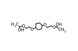 CC(O)OCCOC1CCC(OCCOC(C)O)CC1